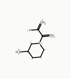 C=C(F)C(=C)N1CCCC(N)C1